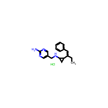 CCC(=Cc1ccccc1)C1CC1NCc1cnc(N)nc1.Cl